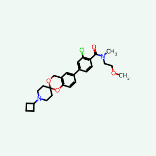 COCCN(C)C(=O)c1ccc(-c2ccc3c(c2)COC2(CCN(C4CCC4)CC2)O3)cc1Cl